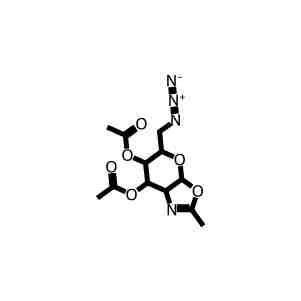 CC(=O)OC1C(CN=[N+]=[N-])OC2OC(C)=NC2C1OC(C)=O